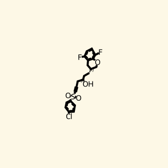 O=S(=O)(C#CC[C@H](O)CC[C@H]1COc2c(F)ccc(F)c2C1)c1ccc(Cl)cc1